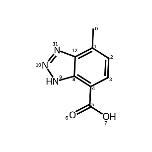 Cc1ccc(C(=O)O)c2[nH]nnc12